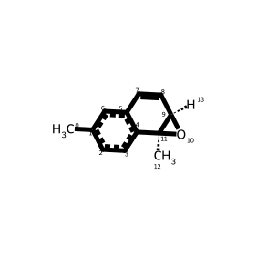 Cc1ccc2c(c1)C=C[C@H]1O[C@@]21C